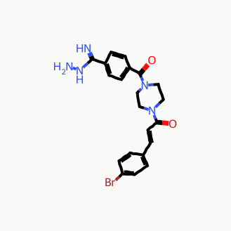 N=C(NN)c1ccc(C(=O)N2CCN(C(=O)/C=C/c3ccc(Br)cc3)CC2)cc1